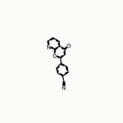 N#Cc1ccc(-c2cc(=O)c3cccnc3o2)cc1